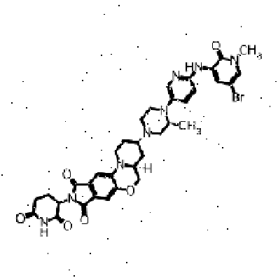 C[C@H]1CN([C@H]2CCN3c4cc5c(cc4OC[C@@H]3C2)C(=O)N(C2CCC(=O)NC2=O)C5=O)CCN1c1ccc(Nc2cc(Br)cn(C)c2=O)nc1